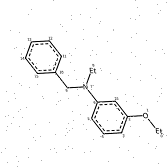 CCOc1cccc(N(CC)Cc2ccccc2)c1